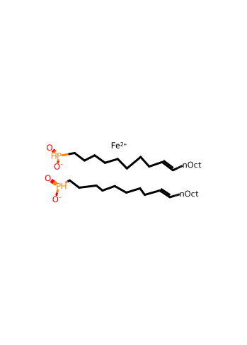 CCCCCCCCC=CCCCCCCCC[PH](=O)[O-].CCCCCCCCC=CCCCCCCCC[PH](=O)[O-].[Fe+2]